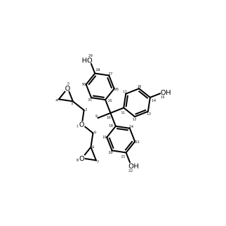 C(OCC1CO1)C1CO1.CC(c1ccc(O)cc1)(c1ccc(O)cc1)c1ccc(O)cc1